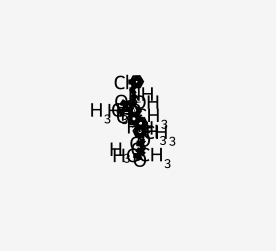 CC(C)C1=C2[C@H]3CC[C@@H]4[C@@]5(C)CC[C@H](OC(=O)CC(C)(C)C(=O)O)[C@H](C)[C@@H]5CC[C@@]4(C)[C@]3(C)CC[C@@]2([C@@H](O)CNCc2ccccc2Cl)CC1=O